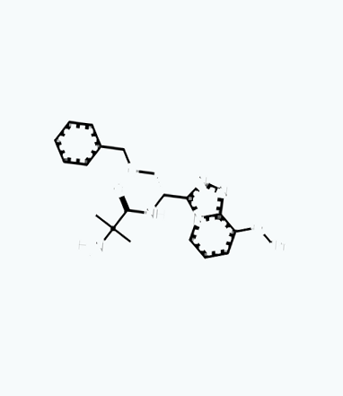 CC(C)Oc1cccn2c([C@@H](COCc3ccccc3)NC(=O)C(C)(C)N)nnc12